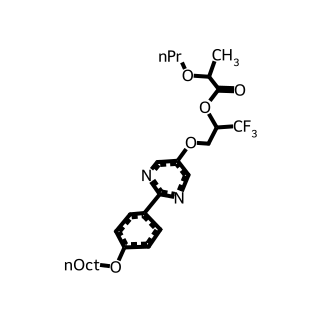 CCCCCCCCOc1ccc(-c2ncc(OCC(OC(=O)C(C)OCCC)C(F)(F)F)cn2)cc1